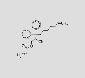 C=CCCCCCC(c1ccccc1)(c1ccccc1)C(C#N)COC(=O)C=C